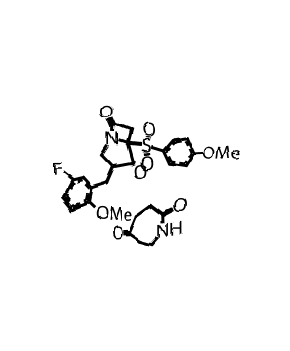 COc1ccc(S(=O)(=O)C23CC(=O)N2CC(Cc2cc(F)ccc2OC)C3=O)cc1.O=C1CCNC(=O)CC1